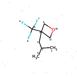 CC(C)CC1(C(F)(F)F)COC1